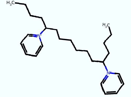 CCCCC(CCCCCCC(CCCC)[n+]1ccccc1)[n+]1ccccc1